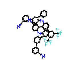 N#Cc1cccc(-c2ccc3c(c2)c2ccccc2n3-c2ccc(C#N)cc2-c2cc(-c3cc(C(F)(F)F)cc(C(F)(F)F)c3)ccc2-n2c3ccccc3c3cc(-c4cccc(C#N)c4)ccc32)c1